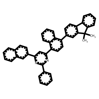 CC1(C)c2ccccc2-c2ccc(-c3ccc(-c4cc(-c5ccc6ccccc6c5)nc(-c5ccccc5)n4)c4ccccc34)cc21